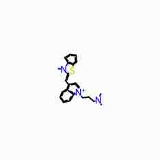 CN(C)CCC[n+]1ccc(/C=C2\Sc3ccccc3N2C)c2ccccc21